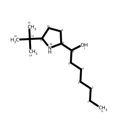 CCCCCCC(O)C1CCC(C(C)(C)C)N1